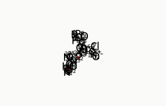 CC(C)Oc1cc(C(Cc2c(Cl)c[n+]([O-])cc2Cl)OC(=O)c2ccc(CN(C(=O)O[C@H]3CN4CCC3CC4)c3cccnc3)cc2)ccc1OC(F)F